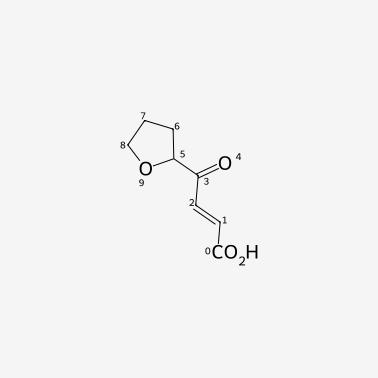 O=C(O)C=CC(=O)C1CCCO1